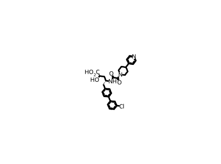 O=C(N[C@H](Cc1ccc(-c2cccc(Cl)c2)cc1)C[C@@H](O)C(=O)O)C(=O)N1CCC(c2ccncc2)CC1